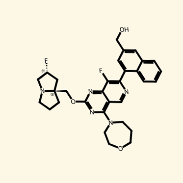 OCc1cc(-c2ncc3c(N4CCCOCC4)nc(OC[C@@]45CCCN4C[C@H](F)C5)nc3c2F)c2ccccc2c1